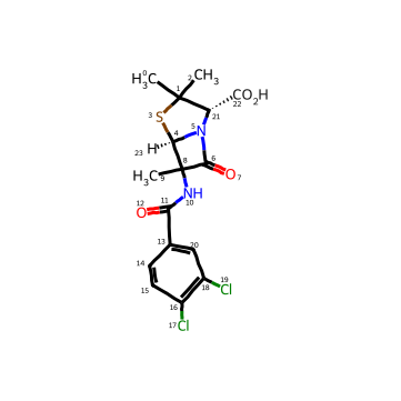 CC1(C)S[C@H]2N(C(=O)C2(C)NC(=O)c2ccc(Cl)c(Cl)c2)[C@H]1C(=O)O